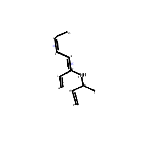 C=C/C(=C\C=C/C)NC(C)C=C